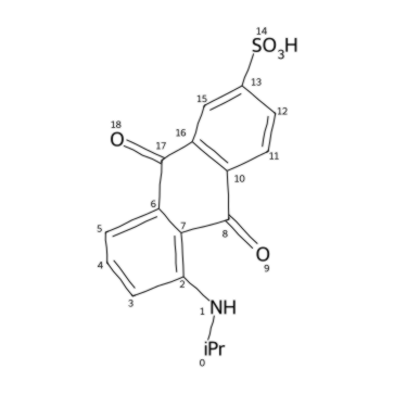 CC(C)Nc1cccc2c1C(=O)c1ccc(S(=O)(=O)O)cc1C2=O